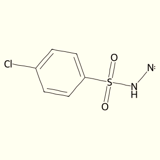 [N]NS(=O)(=O)c1ccc(Cl)cc1